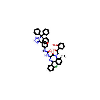 Cc1cccc2c1N(CC(=O)c1ccccc1O)C(=O)C(NC(=O)Nc1cccc(-c3nnnn3C(c3ccccc3)(c3ccccc3)c3ccccc3)c1)N=C2c1ccccc1F